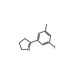 Cc1cc(F)cc(C2=NCCC2)c1